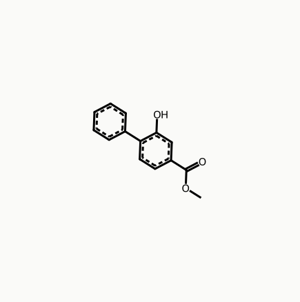 COC(=O)c1ccc(-c2ccccc2)c(O)c1